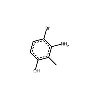 Cc1c(O)ccc(Br)c1N